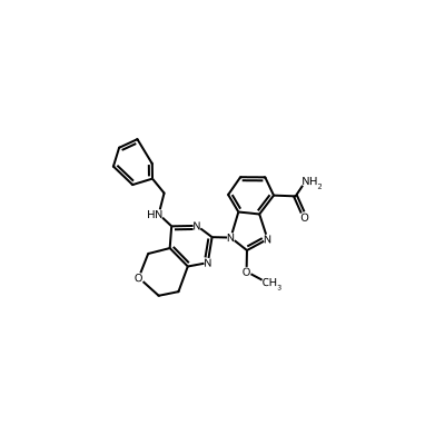 COc1nc2c(C(N)=O)cccc2n1-c1nc2c(c(NCc3ccccc3)n1)COCC2